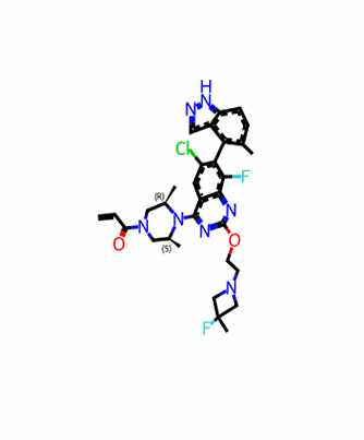 C=CC(=O)N1C[C@@H](C)N(c2nc(OCCN3CC(C)(F)C3)nc3c(F)c(-c4c(C)ccc5[nH]ncc45)c(Cl)cc23)[C@@H](C)C1